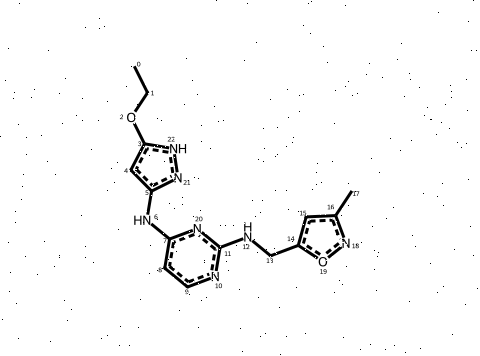 CCOc1cc(Nc2ccnc(NCc3cc(C)no3)n2)n[nH]1